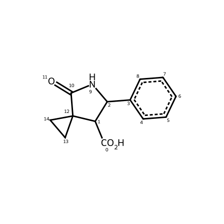 O=C(O)C1C(c2ccccc2)NC(=O)C12CC2